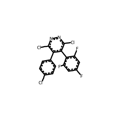 Fc1cc(F)c(-c2c(Cl)nnc(Cl)c2-c2ccc(Cl)cc2)c(F)c1